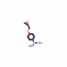 CCCCN(CCCC)c1ccc(OCC2CO2)cc1